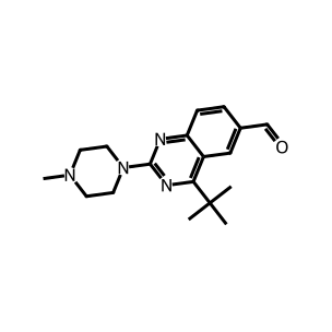 CN1CCN(c2nc(C(C)(C)C)c3cc(C=O)ccc3n2)CC1